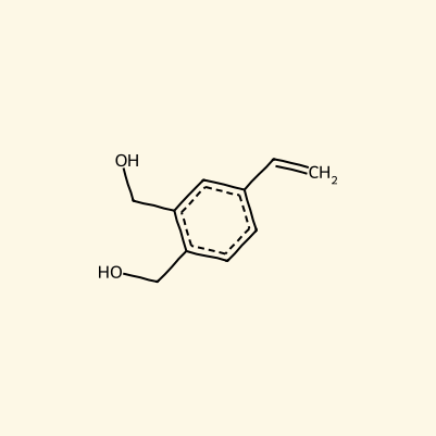 C=Cc1ccc(CO)c(CO)c1